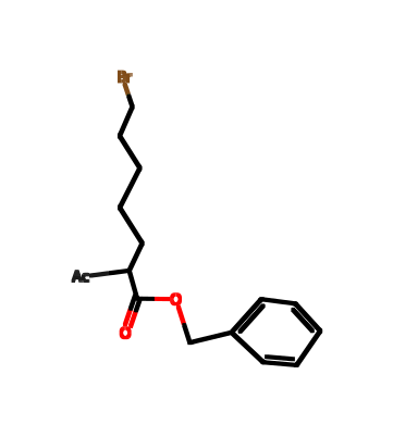 CC(=O)C(CCCCCBr)C(=O)OCc1ccccc1